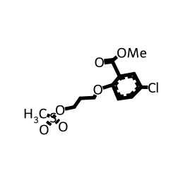 COC(=O)c1cc(Cl)ccc1OCCCOS(C)(=O)=O